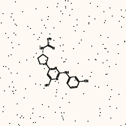 CCCC(=O)N[C@H]1CCN(c2cc(CCC)nc(Nc3cccc(C#N)c3)n2)C1